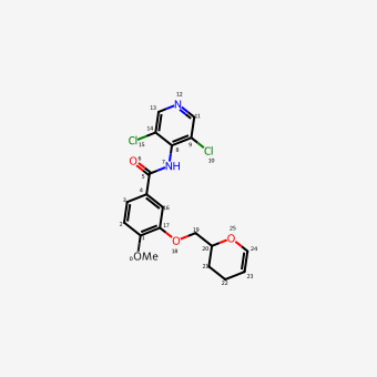 COc1ccc(C(=O)Nc2c(Cl)cncc2Cl)cc1OCC1CCC=CO1